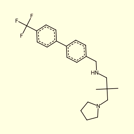 CC(C)(CNCc1ccc(-c2ccc(C(F)(F)F)cc2)cc1)CN1CCCC1